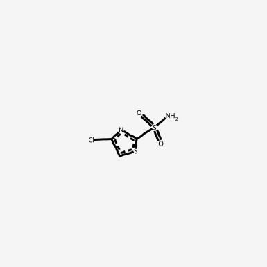 NS(=O)(=O)c1nc(Cl)cs1